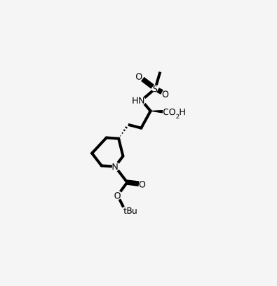 CC(C)(C)OC(=O)N1CCC[C@H](CC[C@@H](NS(C)(=O)=O)C(=O)O)C1